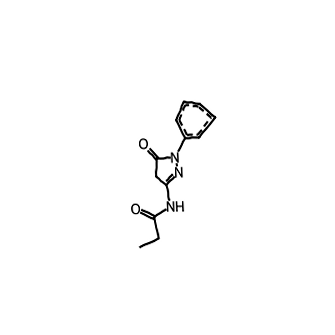 CCC(=O)NC1=NN(c2ccccc2)C(=O)C1